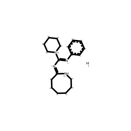 I.c1ccc(N=C(N=C2CCCCCCN2)N2CCCCC2)cc1